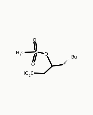 CC[C@@H](C)CC(CC(=O)O)OS(C)(=O)=O